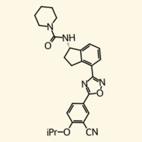 CC(C)Oc1ccc(-c2nc(-c3cccc4c3CC[C@@H]4NC(=O)N3CCCCC3)no2)cc1C#N